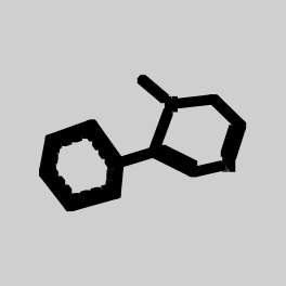 CN1CC=NC=C1c1ccccc1